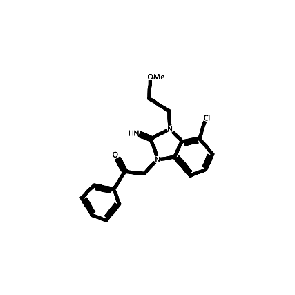 COCCn1c(=N)n(CC(=O)c2ccccc2)c2cccc(Cl)c21